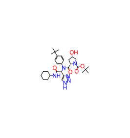 CC(C)(C)OC(=O)N1C[C@H](O)C[C@@H]1C(=O)N(c1ccc(C(C)(C)C)cc1)C(C(=O)NC1CCCCC1)c1c[nH]nn1